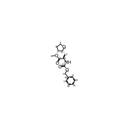 COC(=O)C(=C[C@@H]1CCCO1)NC(=O)OCc1ccccc1